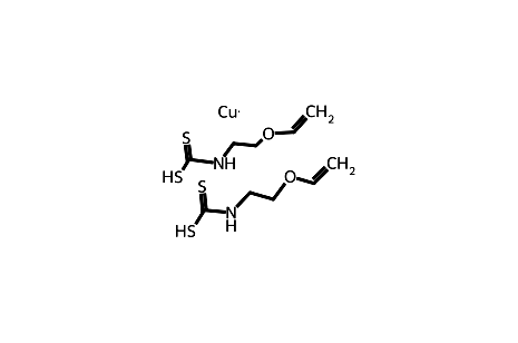 C=COCCNC(=S)S.C=COCCNC(=S)S.[Cu]